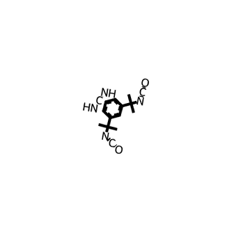 CC(C)(N=C=O)c1cccc(C(C)(C)N=C=O)c1.N=C=N